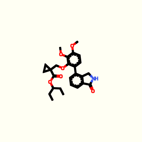 CCC(CC)OC(=O)C1(COc2c(-c3cccc4c3CNC4=O)ccc(OC)c2OC)CC1